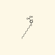 CCCCCCCCCCOc1csc(C(=O)O)c1